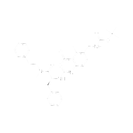 Cc1c(CNC(=O)OC(C)(C)C)ccc2nc(N[C@@H](Cc3ccccc3)C(=O)N(C)CCc3ccccc3)oc(=O)c12